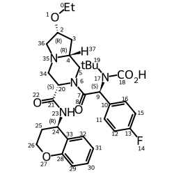 CCO[C@@H]1C[C@@H]2CN(C(=O)[C@H](c3ccc(F)cc3)N(C(=O)O)C(C)(C)C)[C@H](C(=O)N[C@@H]3CCOc4ccccc43)CN2C1